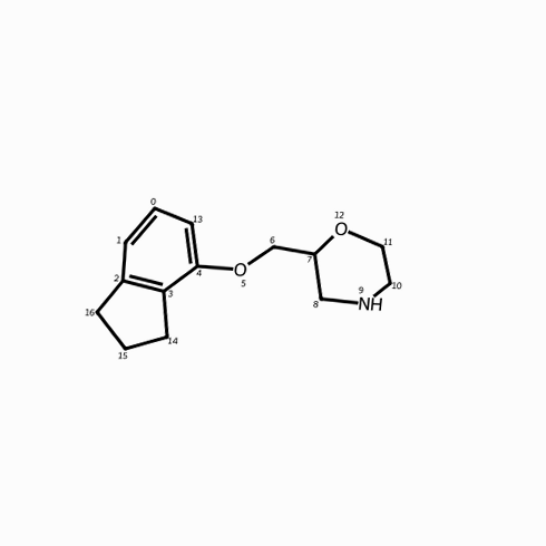 c1cc2c(c(OCC3CNCCO3)c1)CCC2